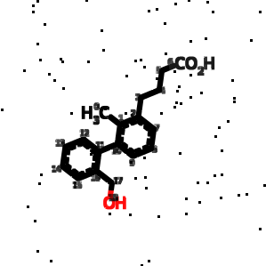 Cc1c(CCCC(=O)O)cccc1-c1ccccc1CO